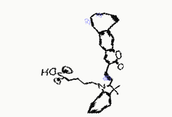 CC1(C)C(/C=C/c2cc3cc4c(cc3oc2=O)C#C/C=C\C=C/4)=[N+](CCCCS(=O)(=O)O)c2ccccc21